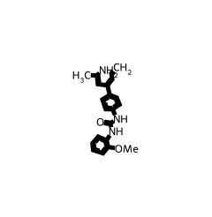 C=C/C=C(\C=C(\C)N)c1ccc(NC(=O)Nc2ccccc2OC)cc1